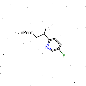 CCCCCCC(C)c1ccc(F)cn1